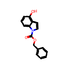 O=C(OCc1ccccc1)n1ccc2c(O)cccc21